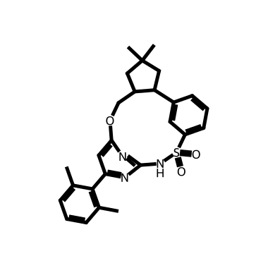 Cc1cccc(C)c1-c1cc2nc(n1)NS(=O)(=O)c1cccc(c1)C1CC(C)(C)CC1CO2